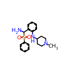 CN1CCC(Nc2ccccc2C(N)S(=O)(=O)c2ccccc2)CC1